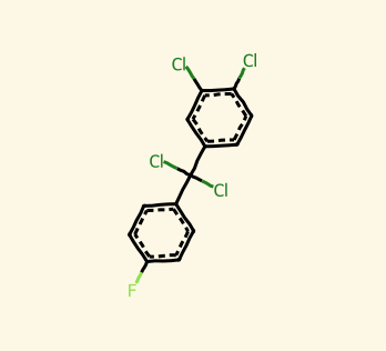 Fc1ccc(C(Cl)(Cl)c2ccc(Cl)c(Cl)c2)cc1